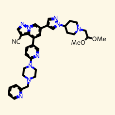 COC(CN1CCC(n2cc(-c3cc(-c4ccc(N5CCN(Cc6ccccn6)CC5)nc4)c4c(C#N)cnn4c3)cn2)CC1)OC